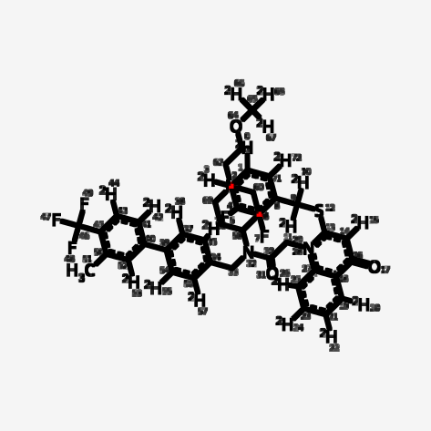 [2H]c1c([2H])c(F)c(F)c(C([2H])([2H])Sc2c([2H])c(=O)c3c([2H])c([2H])c([2H])c([2H])c3n2CC(=O)N(Cc2c([2H])c([2H])c(-c3c([2H])c([2H])c(C(F)(F)F)c(C)c3[2H])c([2H])c2[2H])C2CCN(CCOC([2H])([2H])[2H])CC2)c1[2H]